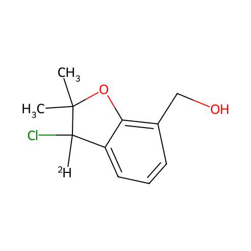 [2H]C1(Cl)c2cccc(CO)c2OC1(C)C